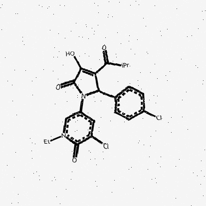 CCn1cc(N2C(=O)C(O)=C(C(=O)C(C)C)C2c2ccc(Cl)cc2)cc(Cl)c1=O